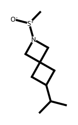 CC(C)C1CC2(C1)CN([S+](C)[O-])C2